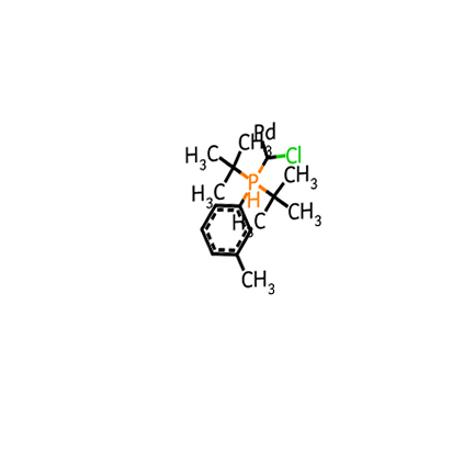 Cc1cccc([PH]([CH](Cl)[Pd])(C(C)(C)C)C(C)(C)C)c1